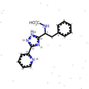 O=C(O)NC(Cc1ccccc1)c1nc(-c2ccccn2)n[nH]1